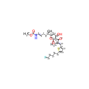 COC(=O)N/C=C/CCC(C)c1cc(O)c(C(=O)/C(C)=C/c2ccc(CCCCCF)s2)c(=O)o1